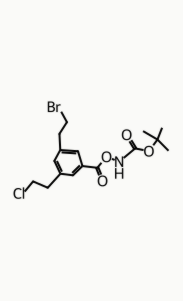 CC(C)(C)OC(=O)NOC(=O)c1cc(CCCl)cc(CCBr)c1